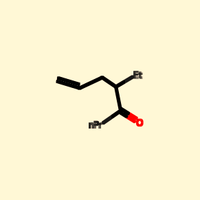 C=CCC(CC)C(=O)CCC